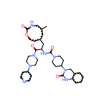 Cc1c[nH]c(=O)occc(CC(NC(=O)N2CCC(N3Cc4ccccc4NC3=O)CC2)C(=O)N2CCN(c3ccncc3)CC2)c1